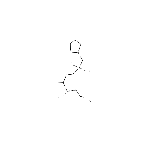 COCCC(C)C(C)CCC(C)(C)CC1CCCO1